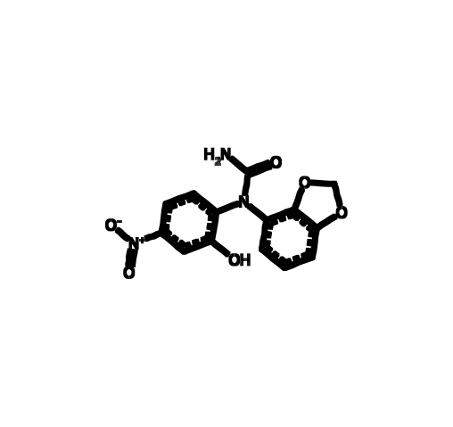 NC(=O)N(c1ccc([N+](=O)[O-])cc1O)c1cccc2c1OCO2